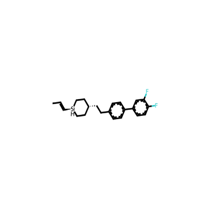 CC=C[Si@H]1CC[C@H](CCc2ccc(-c3ccc(F)c(F)c3)cc2)CC1